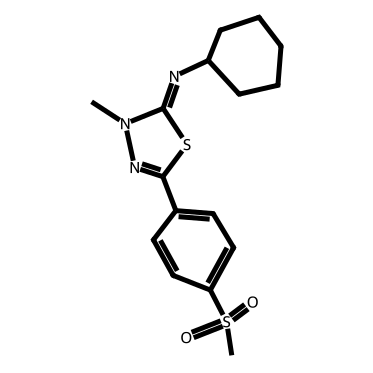 Cn1nc(-c2ccc(S(C)(=O)=O)cc2)sc1=NC1CCCCC1